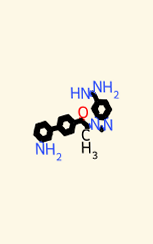 CC(C(=O)c1ccc(-c2cccc(N)c2)cc1)n1cnc2ccc(C(=N)N)cc21